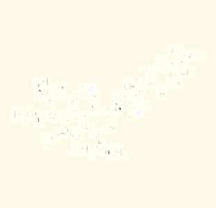 COc1cc(/C=C\c2cc(OC)c(OC)c(OC)c2)c(N/C=C\C(=O)c2ccc(C(F)(F)F)cc2)cc1OC